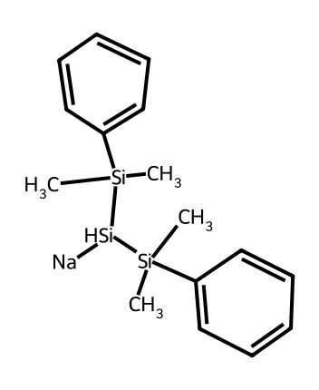 C[Si](C)(c1ccccc1)[SiH]([Na])[Si](C)(C)c1ccccc1